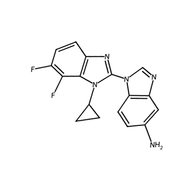 Nc1ccc2c(c1)ncn2-c1nc2ccc(F)c(F)c2n1C1CC1